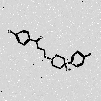 O=C(CCCN1CCC(O)(c2ccc(Br)cc2)CC1)c1ccc(Cl)cc1